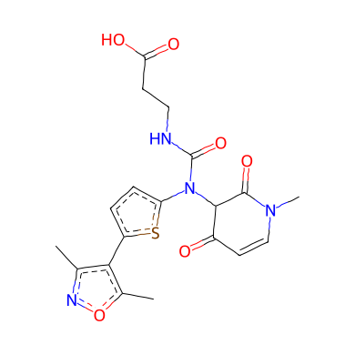 Cc1noc(C)c1-c1ccc(N(C(=O)NCCC(=O)O)C2C(=O)C=CN(C)C2=O)s1